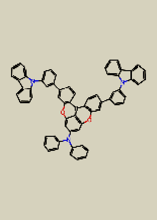 c1ccc(N(c2ccccc2)c2cc3c4c(c2)Oc2cc(-c5cccc(-n6c7ccccc7c7ccccc76)c5)ccc2B4c2ccc(-c4cccc(-n5c6ccccc6c6ccccc65)c4)cc2O3)cc1